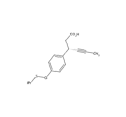 CC#C[C@@H](CC(=O)O)c1ccc(OSC(C)C)cc1